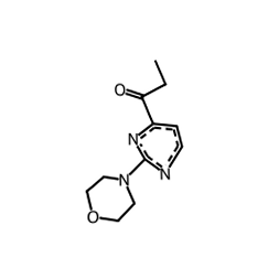 CCC(=O)c1ccnc(N2CCOCC2)n1